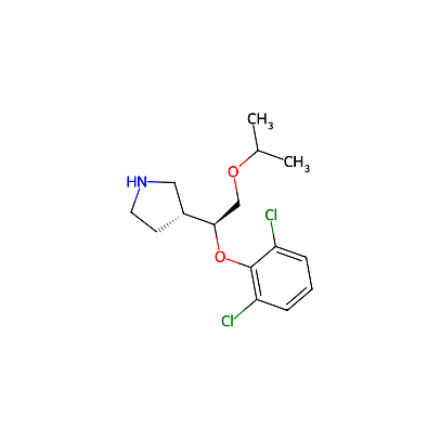 CC(C)OC[C@@H](Oc1c(Cl)cccc1Cl)[C@@H]1CCNC1